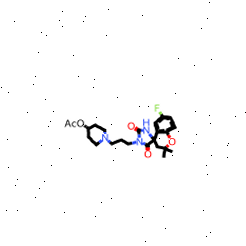 CC(=O)OC1CCN(CCCN2C(=O)NC3(CC(C)(C)Oc4ccc(F)cc43)C2=O)CC1